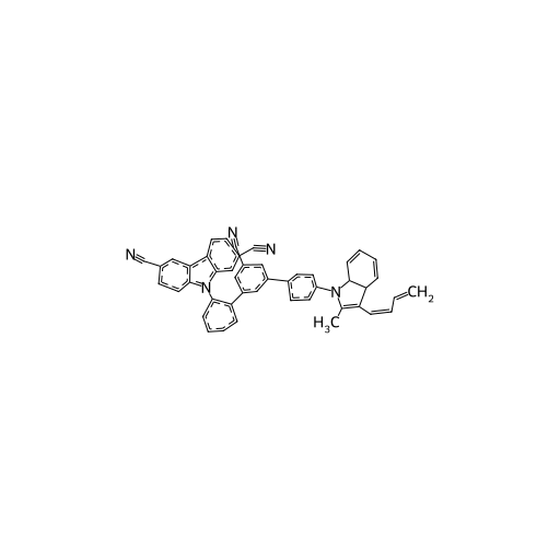 C=C/C=C\C1=C(C)N(c2ccc(-c3cc(C#N)cc(-c4ccccc4-n4c5ccc(C#N)cc5c5ccc(C#N)cc54)c3)cc2)C2C=CC=CC12